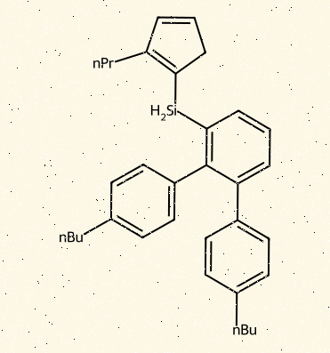 CCCCc1ccc(-c2cccc([SiH2]C3=C(CCC)C=CC3)c2-c2ccc(CCCC)cc2)cc1